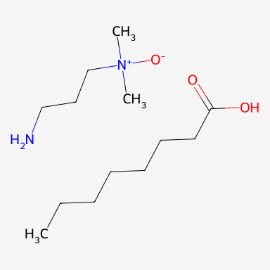 CCCCCCCC(=O)O.C[N+](C)([O-])CCCN